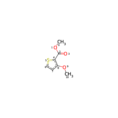 COC(=O)c1sccc1OC